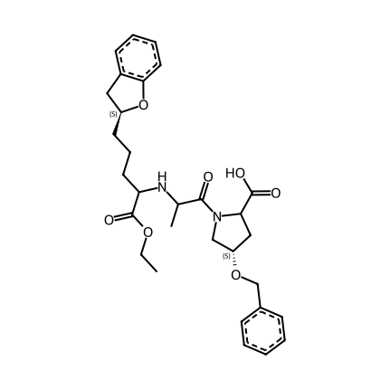 CCOC(=O)C(CCC[C@H]1Cc2ccccc2O1)NC(C)C(=O)N1C[C@@H](OCc2ccccc2)CC1C(=O)O